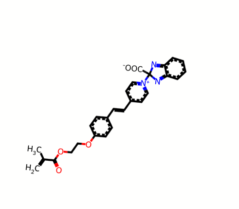 C=C(C)C(=O)OCCOc1ccc(C=Cc2cc[n+](C3(C(=O)[O-])N=c4ccccc4=N3)cc2)cc1